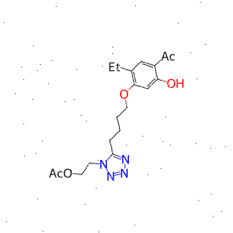 CCc1cc(C(C)=O)c(O)cc1OCCCCc1nnnn1CCOC(C)=O